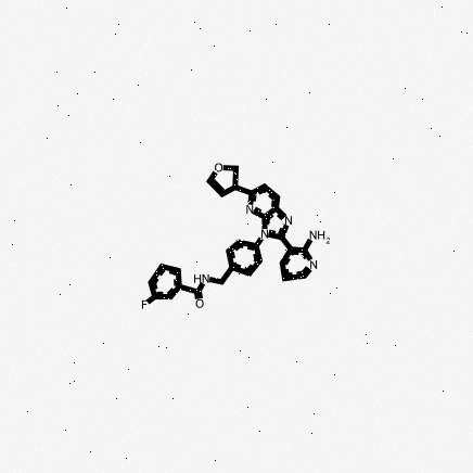 Nc1ncccc1-c1nc2ccc(C3C=COC3)nc2n1-c1ccc(CNC(=O)c2cccc(F)c2)cc1